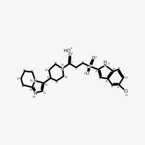 Cl.O=C(CCS(=O)(=O)c1cc2cc(Cl)ccc2[nH]1)N1CCC(c2cnc3n2CCCC3)CC1